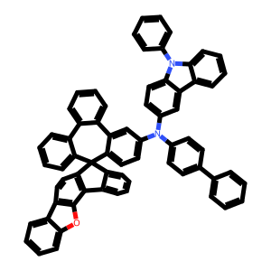 c1ccc(-c2ccc(N(c3ccc4c(c3)-c3ccccc3-c3ccccc3C43c4ccccc4-c4c3ccc3c4oc4ccccc43)c3ccc4c(c3)c3ccccc3n4-c3ccccc3)cc2)cc1